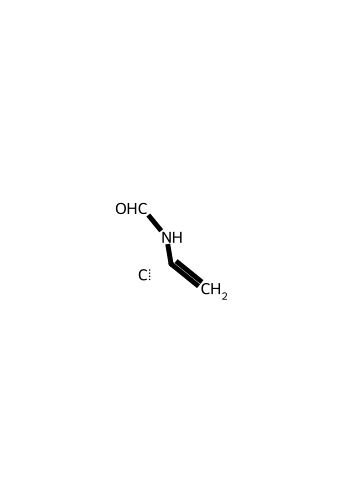 C=CNC=O.[C]